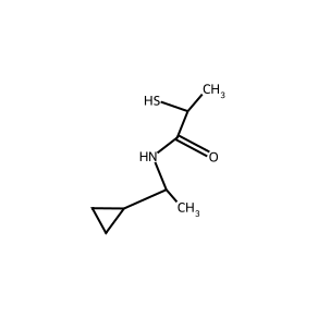 CC(S)C(=O)NC(C)C1CC1